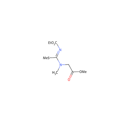 CCOC(=O)/N=C(\SC)N(C)CC(=O)OC